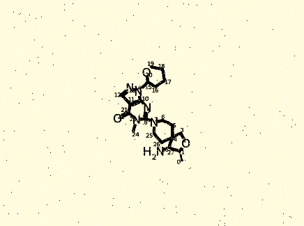 C[C@@H]1OCC2(CCN(c3nc4c(cnn4C4CCCCO4)c(=O)n3C)CC2)[C@@H]1N